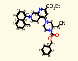 CCOC(=O)c1cc(N2CCN(C(=O)OCc3ccccc3)[C@@H](CC#N)C2)c2c(n1)CN(c1cccc3cccc(C)c13)CC2